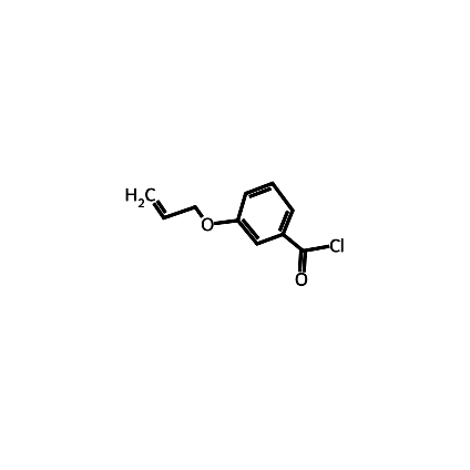 C=CCOc1cccc(C(=O)Cl)c1